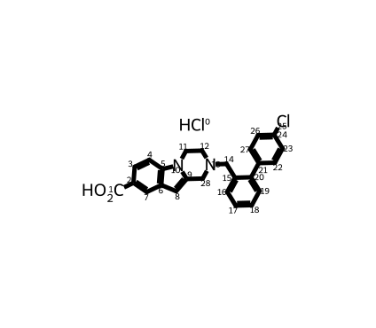 Cl.O=C(O)c1ccc2c(c1)cc1n2CCN(Cc2ccccc2-c2ccc(Cl)cc2)C1